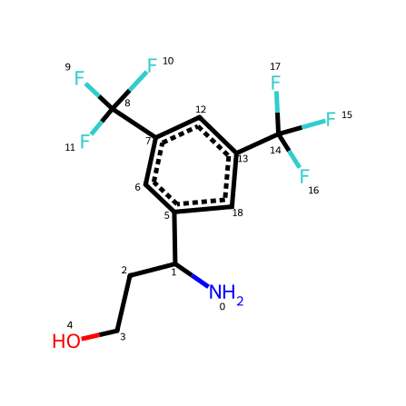 NC(CCO)c1cc(C(F)(F)F)cc(C(F)(F)F)c1